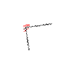 CCCCCCCCCCCCCCCCCCC(O)C(O)(CO)C(=O)CCCCCCCCCCCCCCC